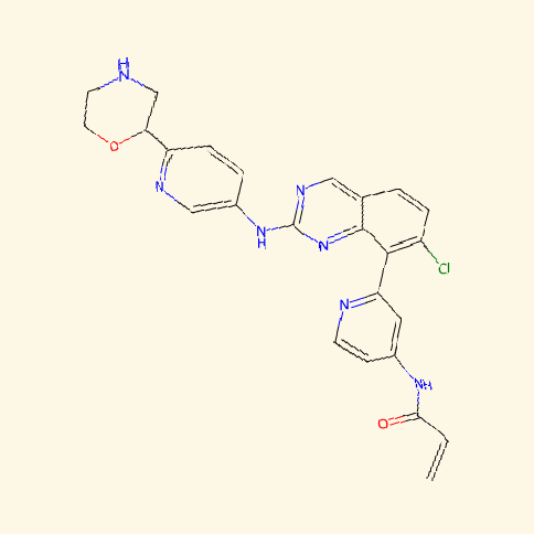 C=CC(=O)Nc1ccnc(-c2c(Cl)ccc3cnc(Nc4ccc(C5CNCCO5)nc4)nc23)c1